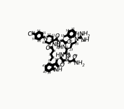 CCCCC(=O)NC1(C(=O)N[C@H](Cc2ccccc2)C(=O)N[C@@H](CCCNC(=N)N)C(=O)N[C@@H](Cc2c[nH]c3ccccc23)C(=O)NCC(N)=O)CCN(c2ccc(Cl)cc2)CC1